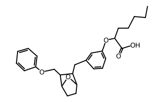 CCCCCC(Oc1cccc(CC2C3CCC(O3)C2COc2ccccc2)c1)C(=O)O